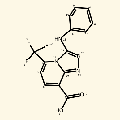 O=C(O)c1ccc(C(F)(F)F)n2c(Nc3ccccc3)nnc12